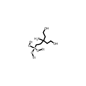 CCO[Si](CCC(N)(CCO)CCO)(OCC)OCC